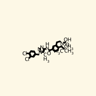 Cc1c(NC(=O)c2ccc3c(c2)CCN(C(=O)O)C3C(C)(C)C)nnn1Cc1ccc(Cl)c(Cl)c1